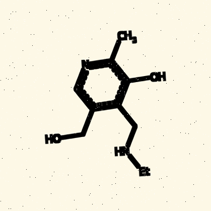 CCNCc1c(CO)cnc(C)c1O